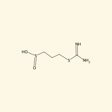 N=C(N)SCCCS(=O)O